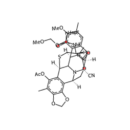 CCCCCCCC(=O)N[C@H]1CS[C@@H]2c3c(OC(C)=O)c(C)c4c(c3[C@H](COC1=O)N1C2[C@H]2c3c(cc(C)c(OC)c3OCOC)C[C@@H]([C@@H]1C#N)N2C)OCO4